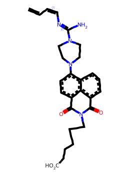 C=C/C=C\N=C(/N)N1CCN(c2ccc3c4c(cccc24)C(=O)N(CCCCCC(=O)O)C3=O)CC1